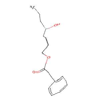 CCCC(O)CCCOC(=O)c1ccccc1